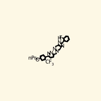 CCCOc1ccc(-c2ccc(CN3Cc4nc(-c5ccccc5F)[nH]c4C=N3)nn2)c(C(F)(F)F)c1